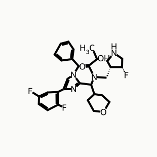 CC(O)C(=O)N(C[C@@H]1CNC[C@@H]1F)C(c1nc(-c2cc(F)ccc2F)cn1Cc1ccccc1)C1CCOCC1